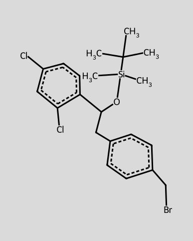 CC(C)(C)[Si](C)(C)OC(Cc1ccc(CBr)cc1)c1ccc(Cl)cc1Cl